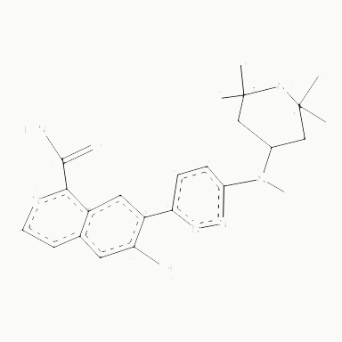 CN(c1ccc(-c2cc3c(C(N)=O)nccc3cc2O)nn1)C1CC(C)(C)NC(C)(C)C1